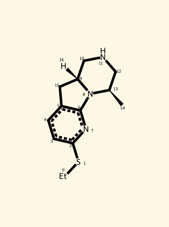 CCSc1ccc2c(n1)N1[C@@H](CNC[C@H]1C)C2